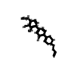 C=CCCC1CC=C(c2ccc(-c3ccc(CCCCCCC)c(F)c3Cl)cc2F)CC1